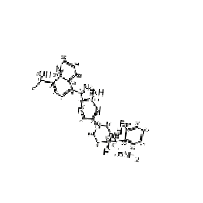 CC(O)c1ccc(-c2n[nH]c3nc(N4CC[C@@H]5[C@H](C4)[C@@]5(CN)c4ccccc4F)cnc23)c2cccnc12